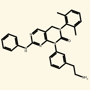 Cc1cccc(C)c1N1Cc2cnc(Nc3ccccc3)nc2N(c2cccc(CCN)c2)C1=O